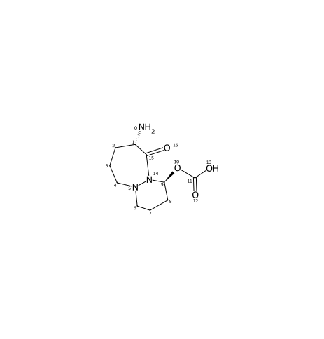 N[C@H]1CCCN2CCC[C@H](OC(=O)O)N2C1=O